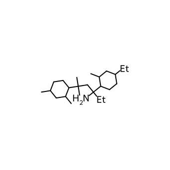 CCC1CCC(C(N)(CC)CC(C)(C)C2CCC(C)CC2C)C(C)C1